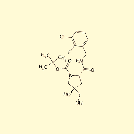 CC(C)(C)OC(=O)N1C[C@@](O)(CO)C[C@H]1C(=O)NCc1cccc(Cl)c1F